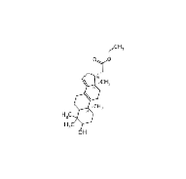 CCOC(=O)C[C@H]1CC=C2C3=C(CC[C@@]21C)[C@@]1(C)CCC(O)C(C)(C)C1CC3